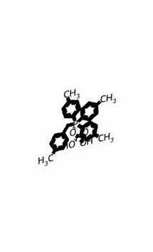 Cc1ccc(CP(OP(=O)(O)O)(c2ccc(C)cc2)(c2ccc(C)cc2)c2ccc(C)cc2)cc1